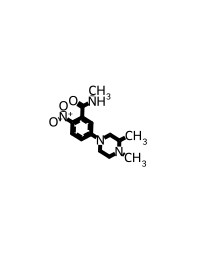 CNC(=O)c1cc(N2CCN(C)C(C)C2)ccc1[N+](=O)[O-]